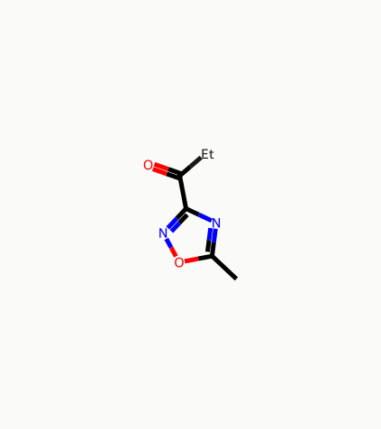 CCC(=O)c1noc(C)n1